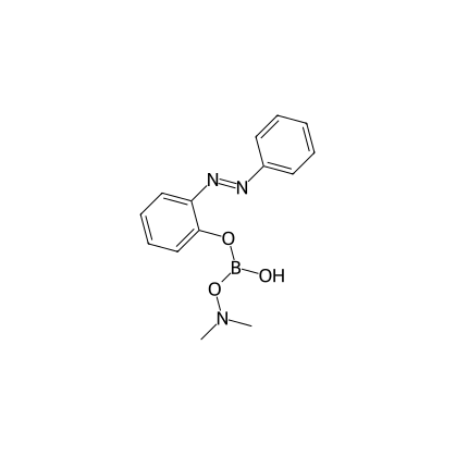 CN(C)OB(O)Oc1ccccc1N=Nc1ccccc1